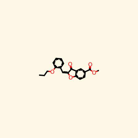 CCCOc1ccccc1C=C1Oc2ccc(C(=O)OC)cc2C1=O